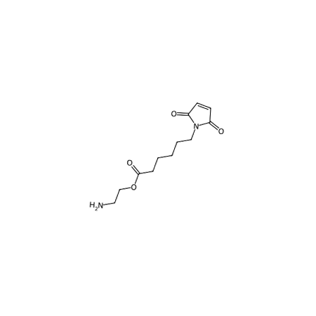 NCCOC(=O)CCCCCN1C(=O)C=CC1=O